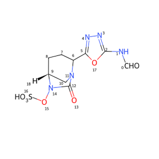 O=CNc1nnc(C2CC[C@@H]3CN2C(=O)N3OS(=O)(=O)O)o1